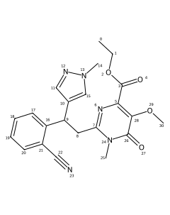 CCOC(=O)c1nc(CC(c2cnn(C)c2)c2ccccc2C#N)n(C)c(=O)c1OC